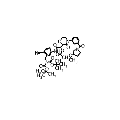 CO[C@H]1CCN(C(=O)c2cccc(N3CCO[C@H]([C@@H](OC(C)=O)C(=O)Nc4ccc(C#N)c(CN(C(=O)OC(C)(C)C)C(=O)OC(C)(C)C)c4)C3=O)c2)C1